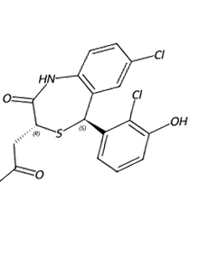 O=C(O)C[C@H]1S[C@H](c2cccc(O)c2Cl)c2cc(Cl)ccc2NC1=O